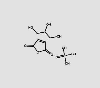 O=C1C=CC(=O)O1.O=P(O)(O)O.OCC(O)CO